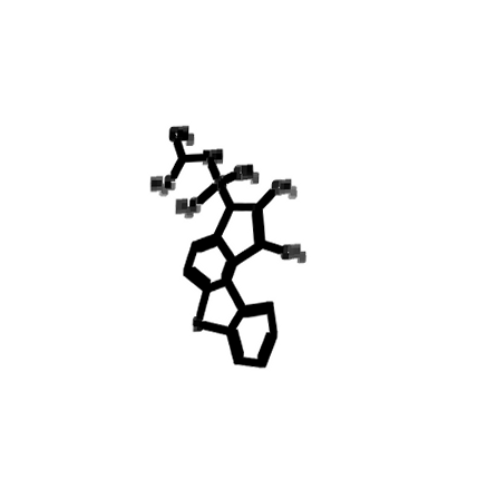 CC1=C(C)C([Si](C)(C)NC(C)C)c2ccc3sc4ccccc4c3c21